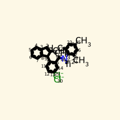 CC1=Cc2ccccc2C1c1ccccc1C(C)[N]([Ti+2])c1c(C)cc(C)cc1C.[Cl-].[Cl-]